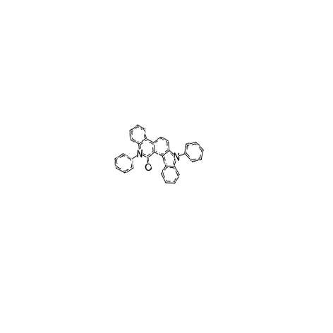 O=c1c2c(ccc3c2c2ccccc2n3-c2ccccc2)c2ccccc2n1-c1ccccc1